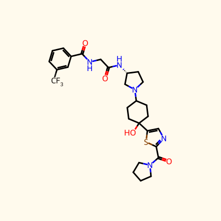 O=C(CNC(=O)c1cccc(C(F)(F)F)c1)N[C@@H]1CCN(C2CCC(O)(c3cnc(C(=O)N4CCCC4)s3)CC2)C1